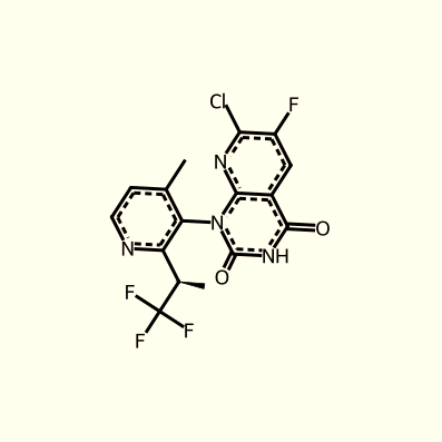 Cc1ccnc([C@@H](C)C(F)(F)F)c1-n1c(=O)[nH]c(=O)c2cc(F)c(Cl)nc21